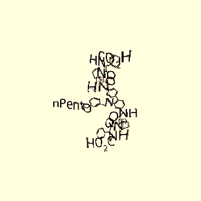 CCCCCOc1cccc(Cn2c3cc(NC(=O)[C@@H]4CCCN4C(=O)C(NC(=O)O)c4ccccc4)ccc3c3ccc(NC(=O)[C@@H]4CCCN4C(=O)C(NC(=O)O)c4ccccc4)cc32)c1